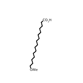 COCCCCCCCCCCCCCCCC(=O)O